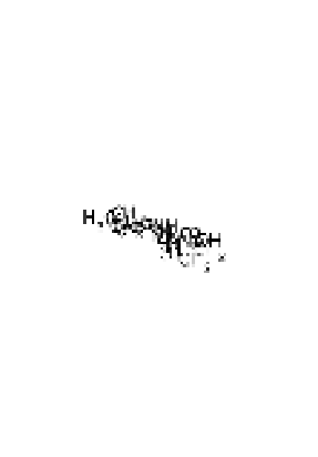 C=CCn1c(=O)c2cnc(Nc3ccc4c(c3)CCN(C(=O)OC(C)(C)C)C4)nc2n1-c1ccc2c(n1)[C@@](O)(CC)CC2